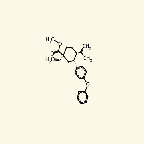 C=C[C@]1(C(=O)OC)CC[C@@H](C(=C)C)[C@H](c2ccc(Oc3ccccc3)cc2)C1